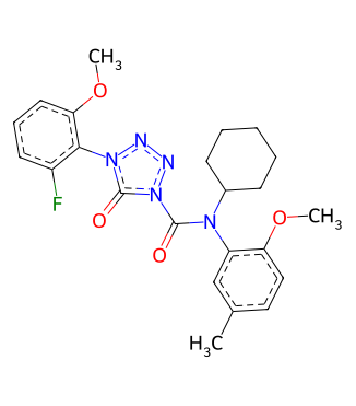 COc1ccc(C)cc1N(C(=O)n1nnn(-c2c(F)cccc2OC)c1=O)C1CCCCC1